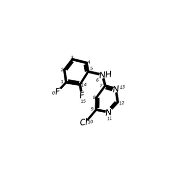 Fc1cccc(Nc2cc(Cl)ncn2)c1F